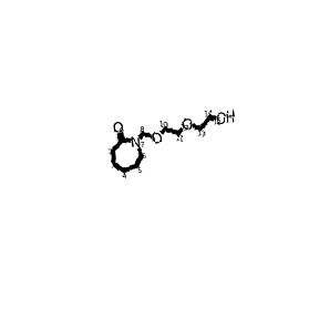 O=C1CCCCCN1COCCOCCO